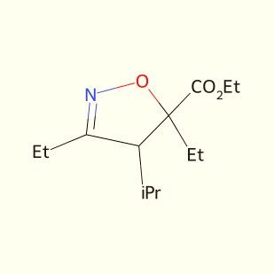 CCOC(=O)C1(CC)ON=C(CC)C1C(C)C